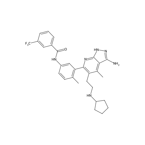 Cc1ccc(NC(=O)c2cccc(C(F)(F)F)c2)cc1-c1nc2[nH]nc(N)c2c(C)c1CCNC1CCCC1